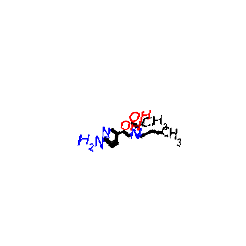 CCCCN(C[C@H](O)c1ccc(N)nc1)[C@@H](C)CO